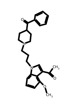 COc1cccc2c1c(C(C)=O)cn2CCCN1CCC(C(=O)c2ccccc2)CC1